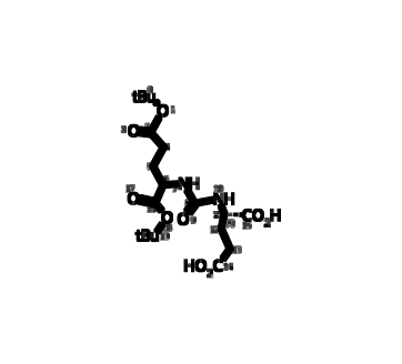 CC(C)(C)OC(=O)CCC(NC(=O)N[C@@H](CCC(=O)O)C(=O)O)C(=O)OC(C)(C)C